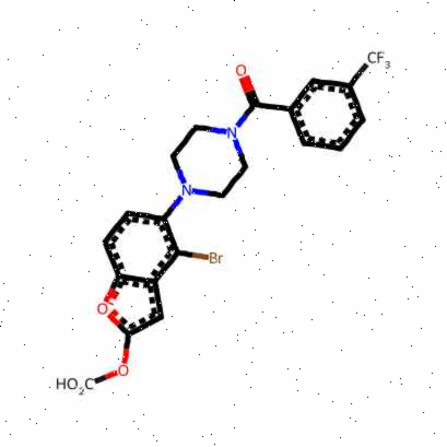 O=C(O)Oc1cc2c(Br)c(N3CCN(C(=O)c4cccc(C(F)(F)F)c4)CC3)ccc2o1